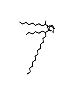 CCCCCCCCCCCCCCC(CCCCCC)c1nccn1C(C)CCCCCCCC